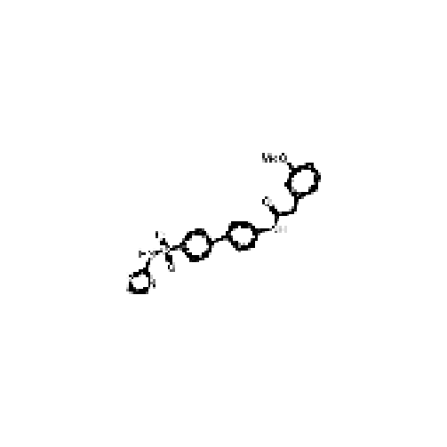 COc1cccc(CC(=O)Nc2ccc(-c3ccc(S(=O)(=O)Nc4nccs4)cc3)cc2)c1